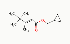 C/C(=C\C(=O)OCC1CC1)C(C)(C)C